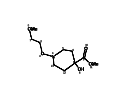 COCCON1CCC(O)(C(=O)OC)CC1